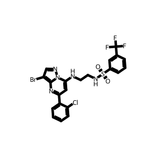 O=S(=O)(NCCNc1cc(-c2ccccc2Cl)nc2c(Br)cnn12)c1cccc(C(F)(F)F)c1